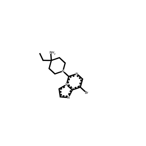 CCC1(N)CCN(c2ncc(Br)c3nccn23)CC1